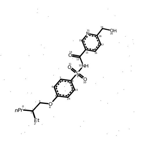 CCCC(CC)COc1ccc(S(=O)(=O)NC(=O)c2ccc(CO)nc2)cc1